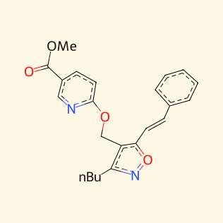 CCCCc1noc(/C=C/c2ccccc2)c1COc1ccc(C(=O)OC)cn1